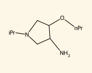 CCCOC1CN(C(C)C)CC1N